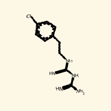 N=C(N)NC(=N)NCCc1ccc(Cl)cc1